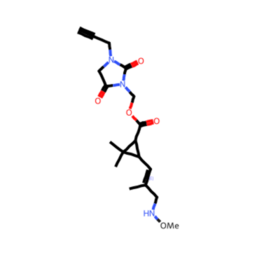 C#CCN1CC(=O)N(COC(=O)C2C(/C=C(\C)CNOC)C2(C)C)C1=O